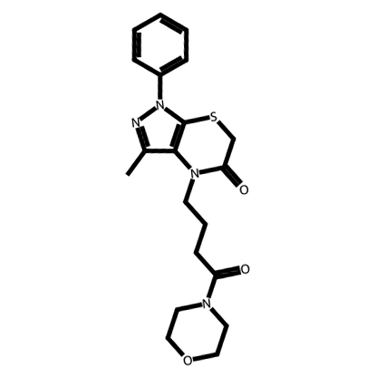 Cc1nn(-c2ccccc2)c2c1N(CCCC(=O)N1CCOCC1)C(=O)CS2